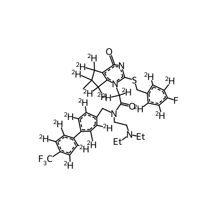 [2H]c1c([2H])c(CSc2nc(=O)c3c(n2C([2H])([2H])C(=O)N(CCN(CC)CC)Cc2c([2H])c([2H])c(-c4c([2H])c([2H])c(C(F)(F)F)c([2H])c4[2H])c([2H])c2[2H])C([2H])([2H])C([2H])(C)C3([2H])[2H])c([2H])c([2H])c1F